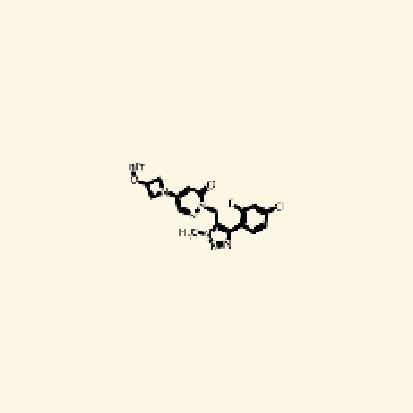 CCCOC1CN(c2cnn(Cc3c(-c4ccc(Cl)cc4F)nnn3C)c(=O)c2)C1